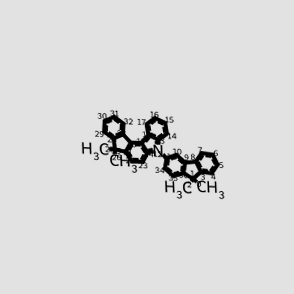 CC1(C)c2ccccc2-c2cc(-n3c4ccccc4c4c5c(ccc43)C(C)(C)c3ccccc3-5)ccc21